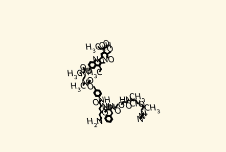 CCc1c2c(nc3ccc(OC(=O)N(C)CCN(C)C(=O)OCc4ccc(NC(=O)C(CCCCN)NC(=O)C(Cc5ccccc5)NC(=O)COCC(=O)NC(C)(C)CCOC(C)CN=[N+]=[N-])cc4)cc13)-c1cc3c(c(=O)n1C2)COC(=O)[C@]3(O)CC